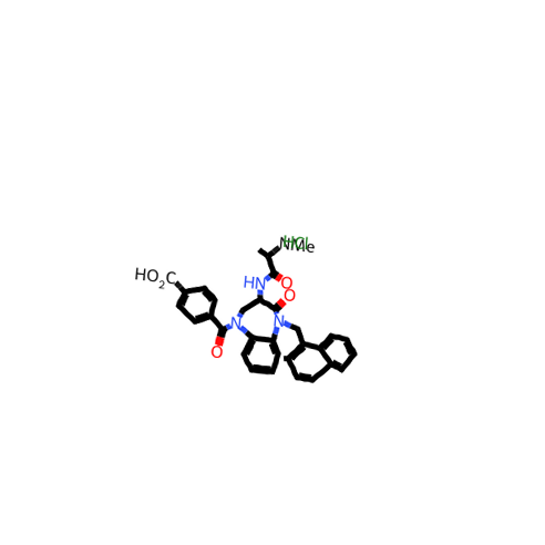 CNC(C)C(=O)NC1CN(C(=O)c2ccc(C(=O)O)cc2)c2ccccc2N(Cc2c(C)ccc3ccccc23)C1=O.Cl